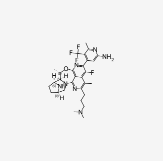 Cc1nc(N)cc(-c2nc3c4c(nc(CCCN(C)C)c(C)c4c2F)N2C[C@H]4CC[C@H](N4)[C@H]2[C@H](C)O3)c1C(F)(F)F